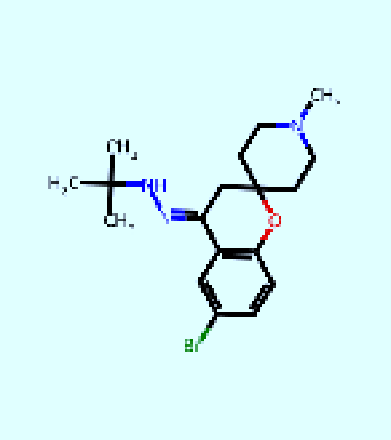 CN1CCC2(CC1)C/C(=N\NC(C)(C)C)c1cc(Br)ccc1O2